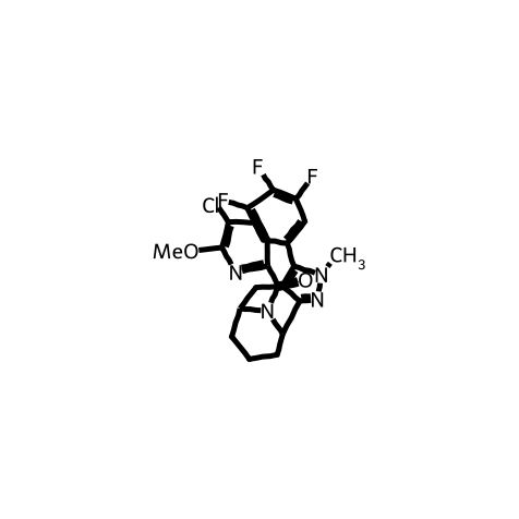 COc1nc(C(=O)N2C3CCCC2c2nn(C)c(-c4cc(F)c(F)c(F)c4)c2C3)ccc1Cl